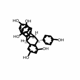 Oc1ccc(C2[C@H]3c4cc(O)cc(O)c4[C@@H](c4ccc(O)cc4)[C@@H]2c2cc(O)cc(O)c23)cc1